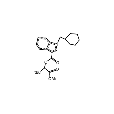 COC(=O)C(OC(=O)c1nn(CC2CCCCC2)c2ccccc12)C(C)(C)C